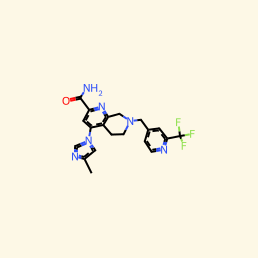 Cc1cn(-c2cc(C(N)=O)nc3c2CCN(Cc2ccnc(C(F)(F)F)c2)C3)cn1